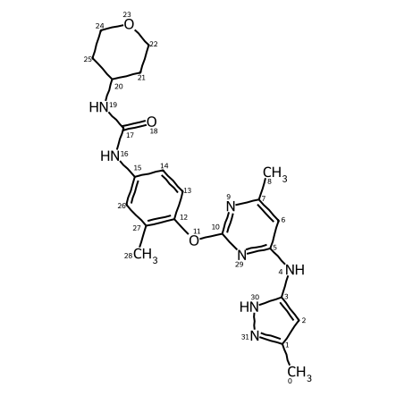 Cc1cc(Nc2cc(C)nc(Oc3ccc(NC(=O)NC4CCOCC4)cc3C)n2)[nH]n1